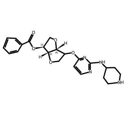 O=C(O[C@H]1CO[C@@H]2C(Oc3ccnc(NC4CCNCC4)n3)CO[C@H]12)c1ccccc1